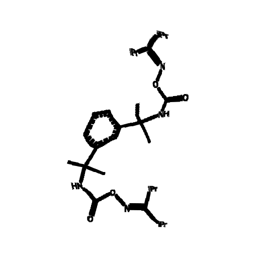 CC(C)C(=NOC(=O)NC(C)(C)c1cccc(C(C)(C)NC(=O)ON=C(C(C)C)C(C)C)c1)C(C)C